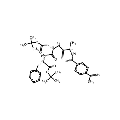 C[C@H](NC(=O)c1ccc(C(=N)N)cc1)C(=O)N[C@@H](CC(=O)OC(C)(C)C)C(=O)N[C@@H](Cc1ccccc1)C(=O)OC(C)(C)C